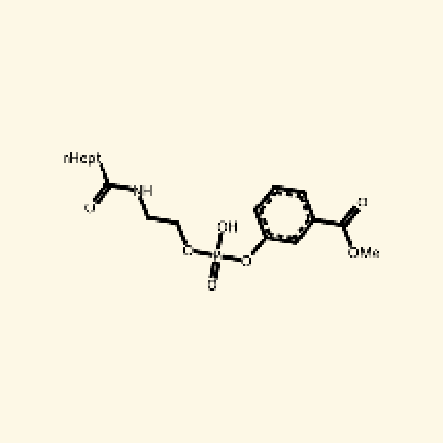 CCCCCCCC(=O)NCCOP(=O)(O)Oc1cccc(C(=O)OC)c1